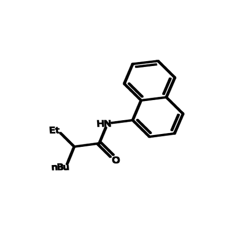 CCCCC(CC)C(=O)Nc1cccc2ccccc12